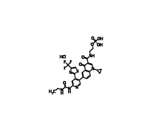 CCNC(=O)Nc1cc(-c2nc(C(F)(F)F)cs2)c(-c2ccc3c(c2)c(=O)c(C(=O)NCCOP(=O)(O)O)cn3C2CC2)cn1.Cl